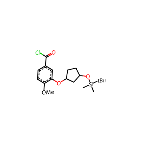 COc1ccc(C(=O)Cl)cc1OC1CCC(O[Si](C)(C)C(C)(C)C)C1